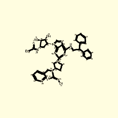 CCC(=O)N[C@H]1C[C@@H](n2cnc3c(NCC(c4ccccc4)c4ccccc4)nc(N4CC[C@@H](N(Cc5cccnc5)C(N)=NC#N)C4)nc32)[C@H](O)[C@@H]1O